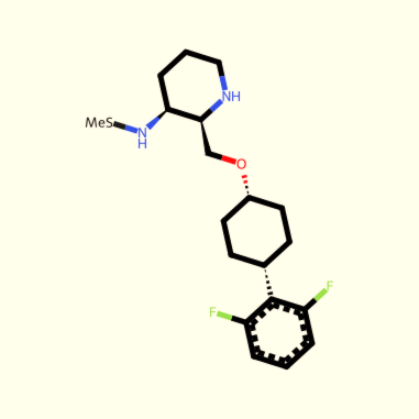 CSN[C@H]1CCCN[C@H]1CO[C@H]1CC[C@@H](c2c(F)cccc2F)CC1